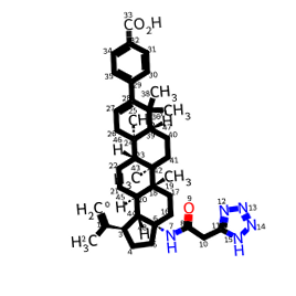 C=C(C)[C@@H]1CC[C@]2(NC(=O)Cc3nnn[nH]3)CC[C@]3(C)[C@H](CC[C@@H]4[C@@]5(C)CC=C(c6ccc(C(=O)O)cc6)C(C)(C)[C@@H]5CC[C@]43C)[C@@H]12